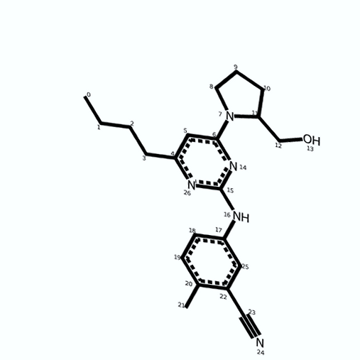 CCCCc1cc(N2CCCC2CO)nc(Nc2ccc(C)c(C#N)c2)n1